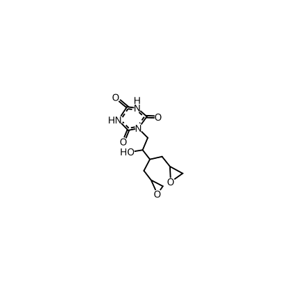 O=c1[nH]c(=O)n(CC(O)C(CC2CO2)CC2CO2)c(=O)[nH]1